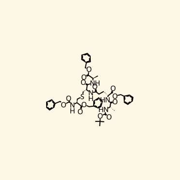 C[C@H](NC(=O)OC(C)(C)C)C(=O)N[C@H](CCC(=O)N[C@H](CSC[C@H](NC(=O)OCc1ccccc1)C(=O)OCc1ccccc1)C(=O)N[C@H](C)C(=O)OCc1ccccc1)C(=O)OCc1ccccc1